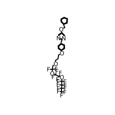 FC(F)(COCCCOc1ccc(-c2ncc(OCc3ccccc3)cn2)cc1)OC(F)(F)C(F)(F)OC(F)(F)C(F)(F)C(F)(F)C(F)(F)F